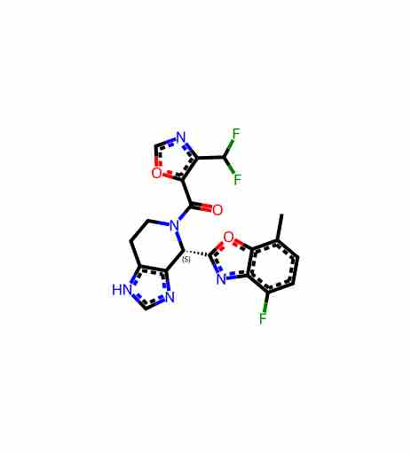 Cc1ccc(F)c2nc([C@@H]3c4nc[nH]c4CCN3C(=O)c3ocnc3C(F)F)oc12